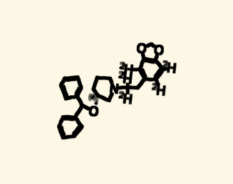 [2H]c1c([2H])c2c(c([2H])c1CC([2H])([2H])N1CCC[C@@H](OC(c3ccccc3)c3ccccc3)C1)OCO2